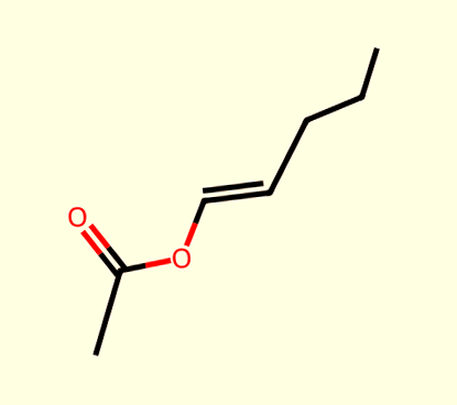 CCCC=COC(C)=O